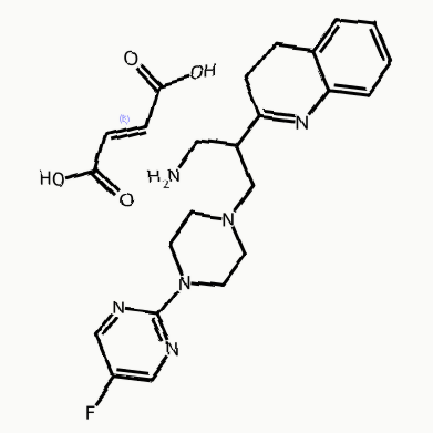 NCC(CN1CCN(c2ncc(F)cn2)CC1)C1=Nc2ccccc2CC1.O=C(O)/C=C/C(=O)O